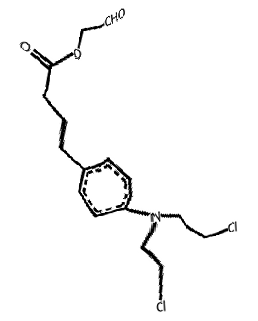 O=CCOC(=O)CCCc1ccc(N(CCCl)CCCl)cc1